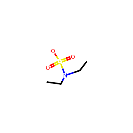 CCN(CC)S([O])(=O)=O